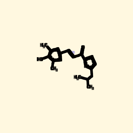 Cc1cc(/C=C/C(=O)c2ccc(CC(C)C)s2)cc(C)c1O